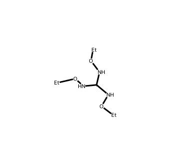 CCON[C](NOCC)NOCC